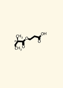 CC[C@@H](C)C(=O)OCCC(=O)O